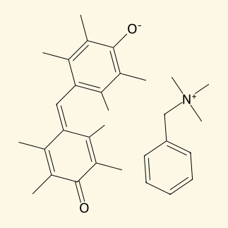 CC1=C(C)C(=Cc2c(C)c(C)c([O-])c(C)c2C)C(C)=C(C)C1=O.C[N+](C)(C)Cc1ccccc1